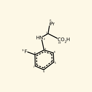 CC(C)C(Nc1ccccc1F)C(=O)O